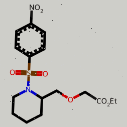 CCOC(=O)COCC1CCCCN1S(=O)(=O)c1ccc([N+](=O)[O-])cc1